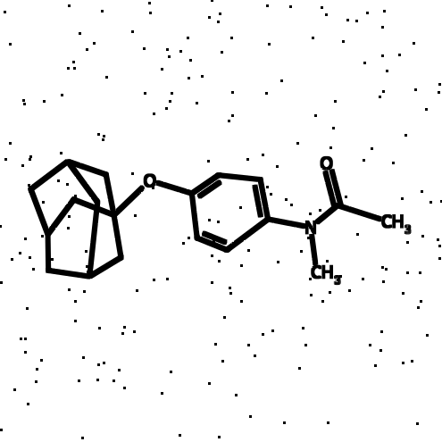 CC(=O)N(C)c1ccc(OC23CC4CC(CC(C4)C2)C3)cc1